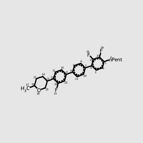 CCCCCc1ccc(-c2ccc(-c3ccc(C4CCC(C)OC4)c(F)c3)cc2)c(F)c1F